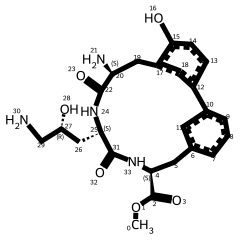 COC(=O)[C@@H]1Cc2cccc(c2)-c2ccc(O)c(c2)C[C@H](N)C(=O)N[C@@H](C[C@@H](O)CN)C(=O)N1